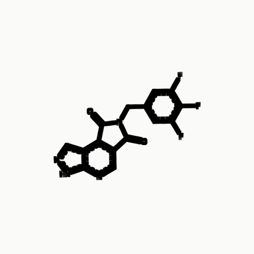 O=C1c2cnc3[nH]ncc3c2C(=O)N1Cc1cc(F)c(F)c(F)c1